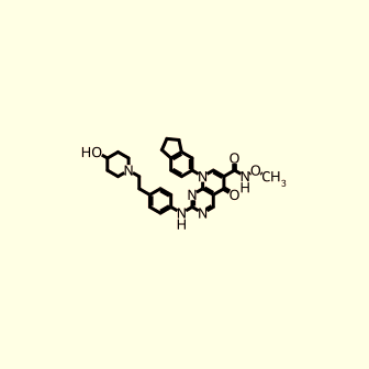 CONC(=O)c1cn(-c2ccc3c(c2)CCC3)c2nc(Nc3ccc(CCN4CCC(O)CC4)cc3)ncc2c1=O